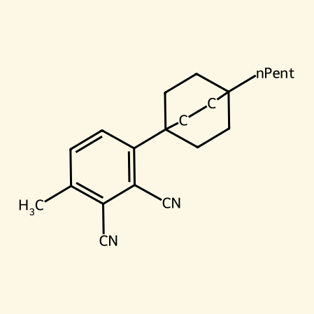 CCCCCC12CCC(c3ccc(C)c(C#N)c3C#N)(CC1)CC2